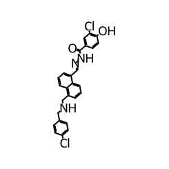 O=C(N/N=C/c1cccc2c(CNCc3ccc(Cl)cc3)cccc12)c1ccc(O)c(Cl)c1